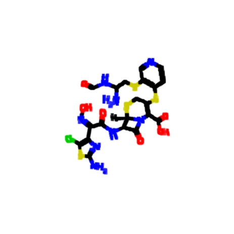 Nc1nc(/C(=N/O)C(=O)N[C@@H]2C(=O)N3C(C(=O)O)=C(Sc4ccncc4SCC(N)NC=O)CS[C@@H]23)c(Cl)s1